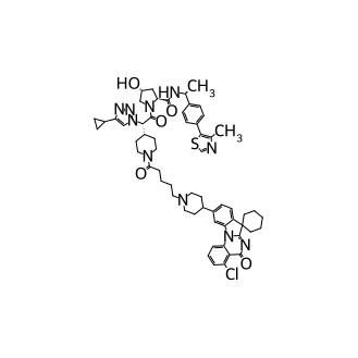 Cc1ncsc1-c1ccc([C@H](C)NC(=O)[C@@H]2C[C@@H](O)CN2C(=O)[C@H](C2CCN(C(=O)CCCCN3CCC(c4ccc5c(c4)-n4c(nc(=O)c6c(Cl)cccc64)C54CCCCC4)CC3)CC2)n2cc(C3CC3)nn2)cc1